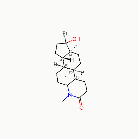 CCC1(O)CC[C@H]2[C@@H]3CCC4N(C)C(=O)CC[C@]4(C)[C@@H]3CC[C@@]21C